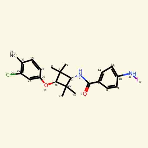 CC1(C)[C@H](NC(=O)c2ccc(NI)cc2)C(C)(C)[C@H]1Oc1ccc(C#N)c(Cl)c1